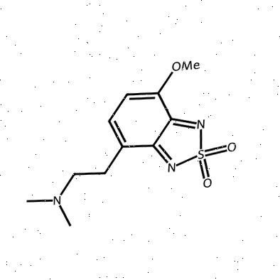 COc1ccc(CCN(C)C)c2c1=NS(=O)(=O)N=2